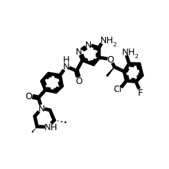 C[C@@H]1CN(C(=O)c2ccc(NC(=O)c3cc(O[C@H](C)c4c(N)ccc(F)c4Cl)c(N)nn3)cc2)C[C@H](C)N1